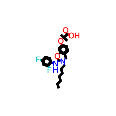 CCCCCCCN(Cc1ccc(OC(C)(C)C(=O)O)cc1)C(=O)Nc1ccc(F)cc1F